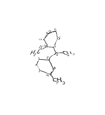 C[C](C1CCCC(C)C1)C1CCCCC1C